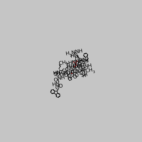 CC=CC[C@H](NC(=O)[C@H](CS)NC(=O)CNC(=O)OCC1c2ccccc2-c2ccccc21)C(=O)C[C@@H](CO)C(=O)N[C@@H](CC(=O)O)C(=O)N1CCCC1C(=O)N[C@@H](CCCNC(=N)N)C(=O)N[C@@H](CS)C(=O)N[C@@H](C)C(=O)N[C@@H](Cc1cc2ccccc2[nH]1)C(=O)N[C@@H](CCCNC(=N)N)C(=O)N[C@@H](C)C(N)=O